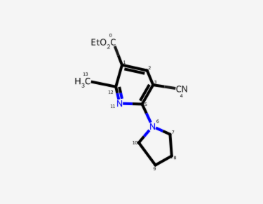 CCOC(=O)c1cc(C#N)c(N2C[CH]CC2)nc1C